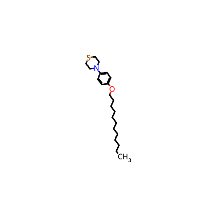 CCCCCCCCCCCCOc1ccc(N2CCSCC2)cc1